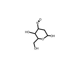 O=NC1CC(O)OC(CO)C1O